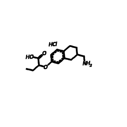 CCC(Oc1ccc2c(c1)CC(CN)CC2)C(=O)O.Cl